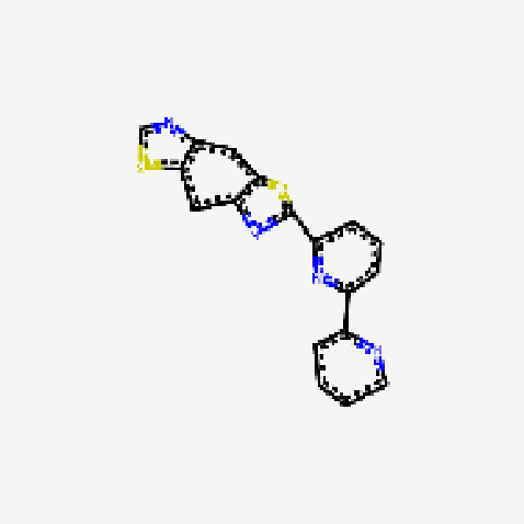 c1ccc(-c2cccc(-c3nc4cc5scnc5cc4s3)n2)nc1